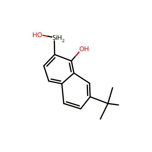 CC(C)(C)c1ccc2ccc([SiH2]O)c(O)c2c1